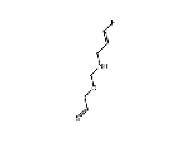 FC=CCNCOCC=S